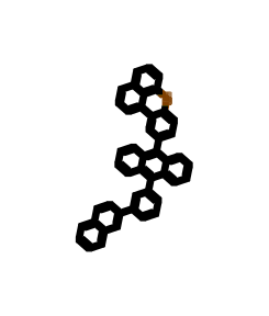 c1cc(-c2ccc3ccccc3c2)cc(-c2c3ccccc3c(-c3ccc4c(c3)-c3cccc5cccc(c35)S4)c3ccccc23)c1